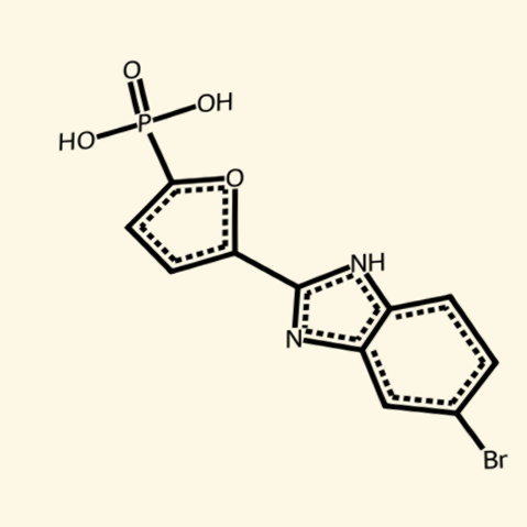 O=P(O)(O)c1ccc(-c2nc3cc(Br)ccc3[nH]2)o1